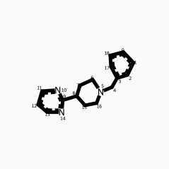 c1ccc(CN2CCC(c3ncccn3)CC2)cc1